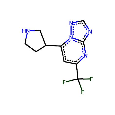 FC(F)(F)c1cc(C2CCNC2)n2ncnc2n1